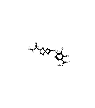 CNC(=O)c1ccc(NC2CC3(CCN(C(=O)OC(C)(C)C)C3)C2)c(F)c1F